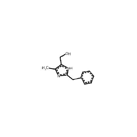 Cc1nc(Cc2ccccc2)[nH]c1CO